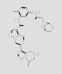 Cc1ccc(NC(=O)CN2CC3CCC2C3)cc1NC(=O)c1cnn2cc(-c3cnn4c3CNCC4C)ncc12